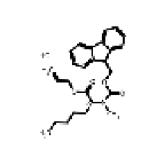 C=CCOC(=O)[C@H](CCCCN)N(C)C(=O)OCC1c2ccccc2-c2ccccc21.Cl